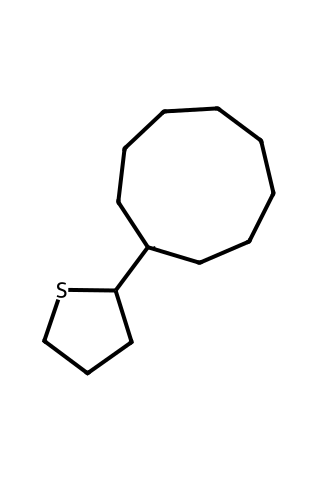 C1CCCC[C](C2CCCS2)CCC1